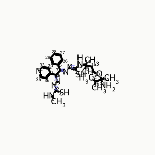 CN/C(S)=N/N=C(/C(=N/N=C(\S)NC(C)(C)CCOC(C)(N)C(C)C)c1ccccc1)c1ccncc1